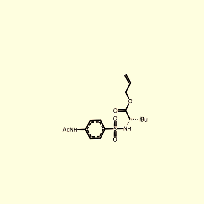 C=CCOC(=O)[C@@H](NS(=O)(=O)c1ccc(NC(C)=O)cc1)[C@@H](C)CC